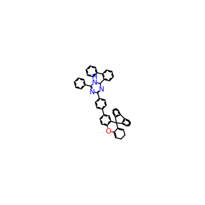 C1=C2Oc3ccc(-c4ccc(C5=NC(c6ccccc6-c6ccccc6)NC(c6ccccc6)=N5)cc4)cc3C3(C2=CCC1)c1ccccc1-c1ccccc13